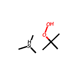 CC(C)(C)OO.C[SiH](C)C